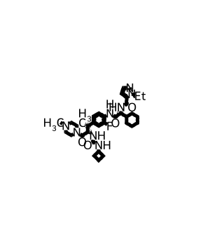 CCn1nccc1C(=O)N[C@H](C(=O)Nc1ccc([C@H](C)[C@@H](NC(=O)NC2CCC2)C(=O)N2CCN(C)CC2)cc1F)C1CCCCC1